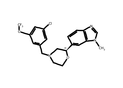 Cn1cnc2ccc([C@@H]3CN(Cc4cc(Cl)cc(OC(F)(F)F)c4)CCO3)cc21